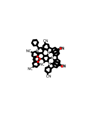 N#Cc1ccc2c(c1)c1cc(C#N)ccc1n2-c1c(C#N)c(-n2c3ccc(C#N)cc3c3cc(C#N)ccc32)c(-n2c3ccc(C#N)cc3c3cc(C#N)ccc32)c(-n2c3ccc(C#N)cc3c3cc(C#N)ccc32)c1-c1ccc(-c2ccccc2)nc1-c1ccccc1